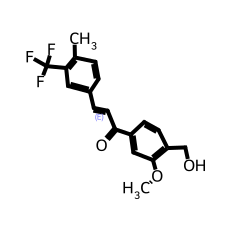 COc1cc(C(=O)/C=C/c2ccc(C)c(C(F)(F)F)c2)ccc1CO